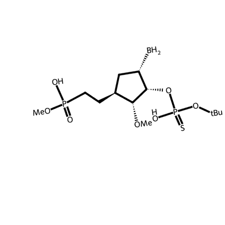 B[C@H]1C[C@H](CCP(=O)(O)OC)[C@@H](OC)[C@H]1OP(O)(=S)OC(C)(C)C